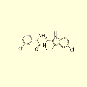 NC(C(=O)N1CCc2c([nH]c3ccc(Cl)cc23)C1)c1cccc(Cl)c1